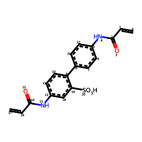 C=CC(=O)Nc1ccc(-c2ccc(NC(=O)C=C)cc2S(=O)(=O)O)cc1